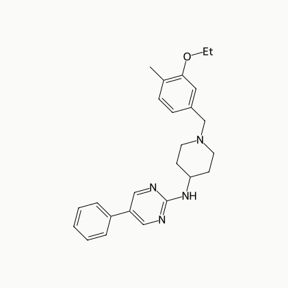 CCOc1cc(CN2CCC(Nc3ncc(-c4ccccc4)cn3)CC2)ccc1C